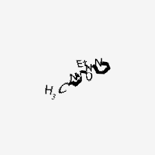 CCN(C(=O)Cn1ccc(C)n1)c1ccccn1